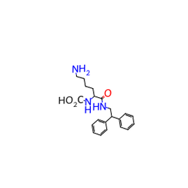 NCCCCC(NC(=O)O)C(=O)NCC(c1ccccc1)c1ccccc1